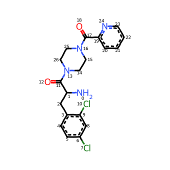 NC(Cc1ccc(Cl)cc1Cl)C(=O)N1CCN(C(=O)c2ccccn2)CC1